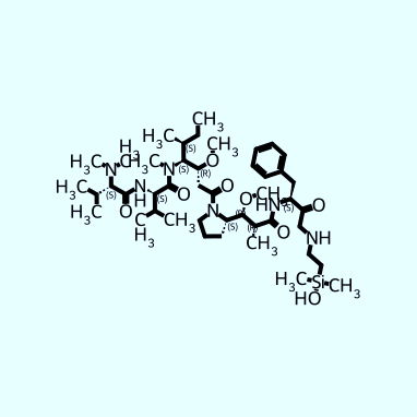 CC[C@H](C)[C@@H]([C@@H](CC(=O)N1CCC[C@H]1[C@H](OC)[C@@H](C)C(=O)N[C@@H](Cc1ccccc1)C(=O)CNCC[Si](C)(C)O)OC)N(C)C(=O)[C@@H](NC(=O)[C@H](C(C)C)N(C)C)C(C)C